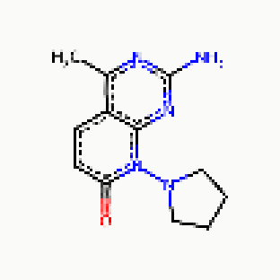 Cc1nc(N)nc2c1ccc(=O)n2N1CCCC1